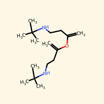 C=C(CCNC(C)(C)C)OC(=C)CCNC(C)(C)C